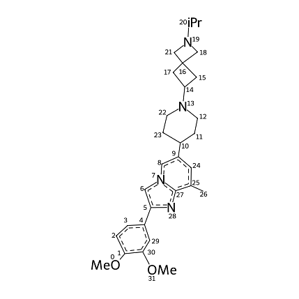 COc1ccc(-c2cn3cc(C4CCN(C5CC6(C5)CN(C(C)C)C6)CC4)cc(C)c3n2)cc1OC